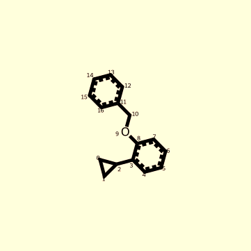 [CH]1CC1c1ccccc1OCc1ccccc1